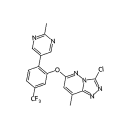 Cc1ncc(-c2ccc(C(F)(F)F)cc2Oc2cc(C)c3nnc(Cl)n3n2)cn1